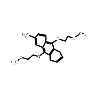 COCCOc1c2c(c(OCCOC)c3cc(C)ccc13)CC=CC2